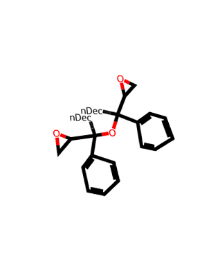 CCCCCCCCCCC(OC(CCCCCCCCCC)(c1ccccc1)C1CO1)(c1ccccc1)C1CO1